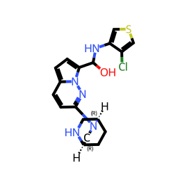 OC(Nc1cscc1Cl)c1ccc2ccc(N3C[C@H]4CC[C@@H]3CN4)nn12